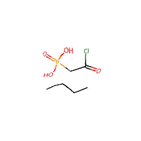 CCCC.O=C(Cl)CP(=O)(O)O